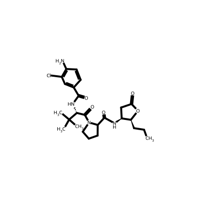 CCC[C@@H]1OC(=O)C[C@@H]1NC(=O)C1CCCN1C(=O)[C@@H](NC(=O)c1ccc(N)c(Cl)c1)C(C)(C)C